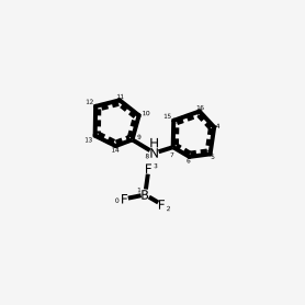 FB(F)F.c1ccc(Nc2ccccc2)cc1